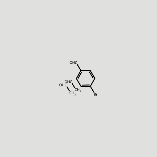 CC=O.CC=O.O=Cc1ccc(Br)cc1